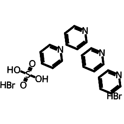 Br.Br.O=S(=O)(O)O.c1ccncc1.c1ccncc1.c1ccncc1.c1ccncc1